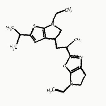 CCN1CCc2nc(C(C)CC3CN(CC)c4sc(C(C)C)nc43)oc21